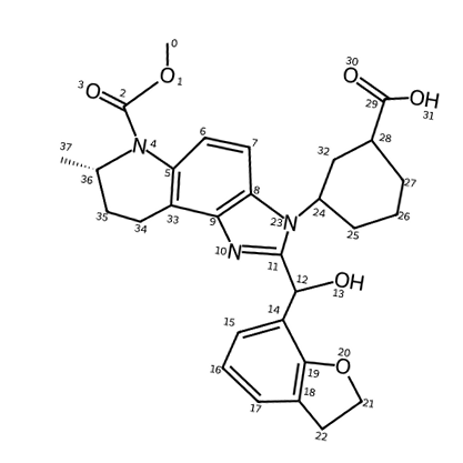 COC(=O)N1c2ccc3c(nc(C(O)c4cccc5c4OCC5)n3C3CCCC(C(=O)O)C3)c2CC[C@@H]1C